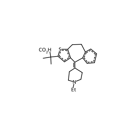 CCN1CCC(=C2c3ccccc3CCc3sc(C(C)(C)C(=O)O)cc32)CC1